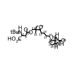 CC(C)(C)N[C@@H](CC(=O)OCC(C)(C)C(=O)CCCC[C@@H]1SC[C@@H]2NC(=O)N[C@@H]21)C(=O)O